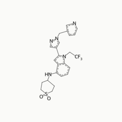 O=S1(=O)CCC(Nc2cccc3c2cc(-c2cnn(Cc4cccnc4)c2)n3CC(F)(F)F)CC1